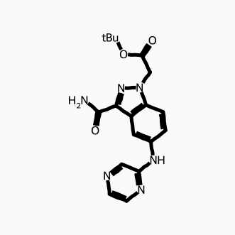 CC(C)(C)OC(=O)Cn1nc(C(N)=O)c2cc(Nc3cnccn3)ccc21